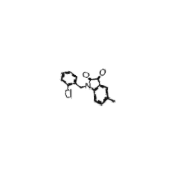 Cc1ccc2c(c1)C(=O)C(=O)N2Cc1ccccc1Cl